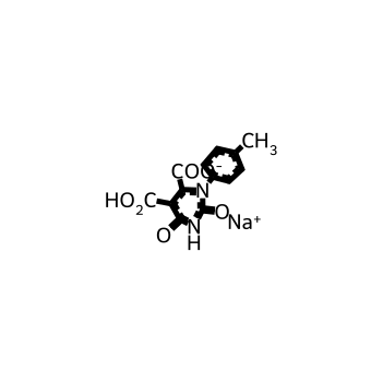 Cc1ccc(-n2c(C(=O)[O-])c(C(=O)O)c(=O)[nH]c2=O)cc1.[Na+]